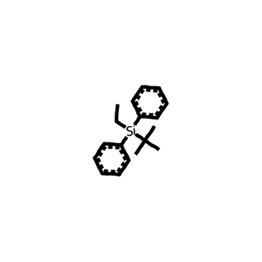 CC[Si](c1ccccc1)(c1ccccc1)C(C)(C)C